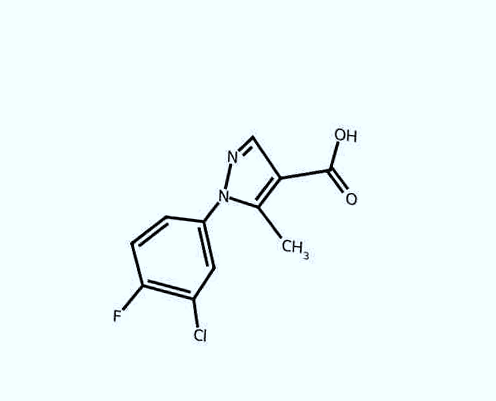 Cc1c(C(=O)O)cnn1-c1ccc(F)c(Cl)c1